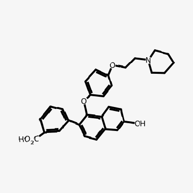 O=C(O)c1cccc(-c2ccc3cc(O)ccc3c2Oc2ccc(OCCN3CCCCC3)cc2)c1